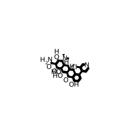 CN(C)[C@@H]1C(O)=C(C(N)=O)C(=O)[C@@]2(O)C(O)=C3C(=O)c4c(O)ccc(-c5ccncc5Cl)c4C[C@H]3C[C@@H]12